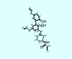 C=CCc1ccc(O)c(-c2cc(CC=C)cc(CN3CCCC(NC(=O)C=C)C3)c2O)c1